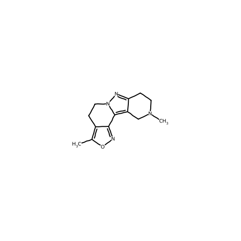 Cc1onc2c1CCn1nc3c(c1-2)CN(C)CC3